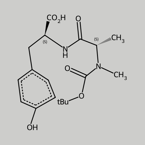 C[C@@H](C(=O)N[C@@H](Cc1ccc(O)cc1)C(=O)O)N(C)C(=O)OC(C)(C)C